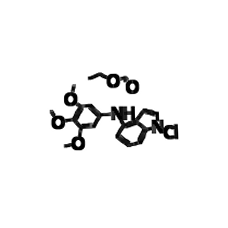 CCOC=O.COc1cc(Nc2cccc3c2ccn3Cl)cc(OC)c1OC